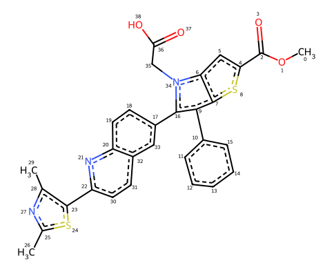 COC(=O)c1cc2c(s1)c(-c1ccccc1)c(-c1ccc3nc(-c4sc(C)nc4C)ccc3c1)n2CC(=O)O